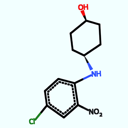 O=[N+]([O-])c1cc(Cl)ccc1N[C@H]1CC[C@H](O)CC1